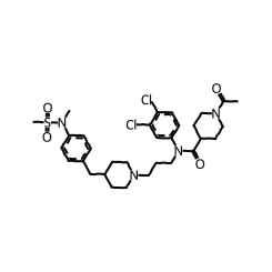 CC(=O)N1CCC(C(=O)N(CCCN2CCC(Cc3ccc(N(C)S(C)(=O)=O)cc3)CC2)c2ccc(Cl)c(Cl)c2)CC1